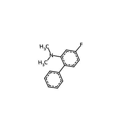 CN(C)c1cc(F)ccc1-c1ccccc1